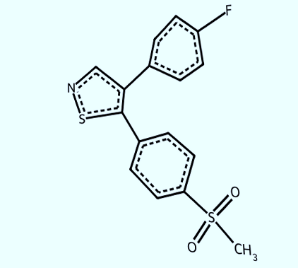 CS(=O)(=O)c1ccc(-c2sncc2-c2ccc(F)cc2)cc1